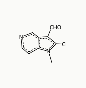 Cn1c(Cl)c(C=O)c2cnccc21